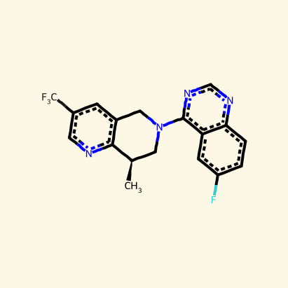 C[C@@H]1CN(c2ncnc3ccc(F)cc23)Cc2cc(C(F)(F)F)cnc21